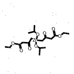 CCOC(=O)CC(=O)[CH2][Zr]([CH2]C(=O)CC(=O)OCC)([O]C(C)C)[O]C(C)C